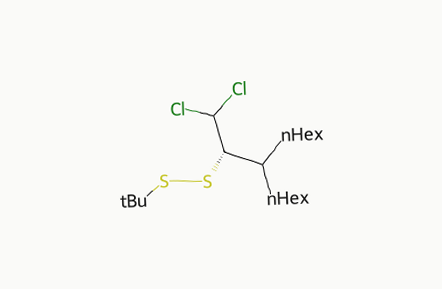 CCCCCCC(CCCCCC)[C@H](SSC(C)(C)C)C(Cl)Cl